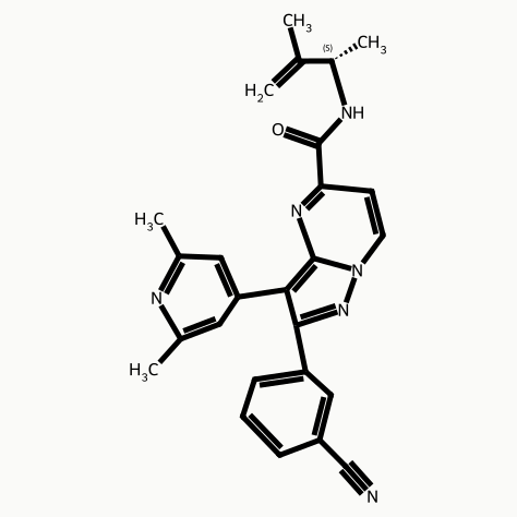 C=C(C)[C@H](C)NC(=O)c1ccn2nc(-c3cccc(C#N)c3)c(-c3cc(C)nc(C)c3)c2n1